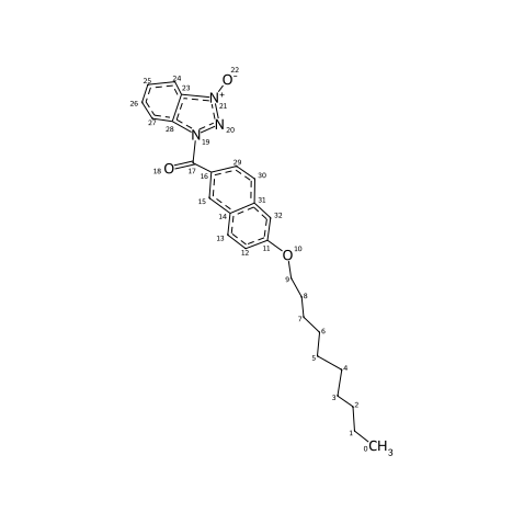 CCCCCCCCCCOc1ccc2cc(C(=O)n3n[n+]([O-])c4ccccc43)ccc2c1